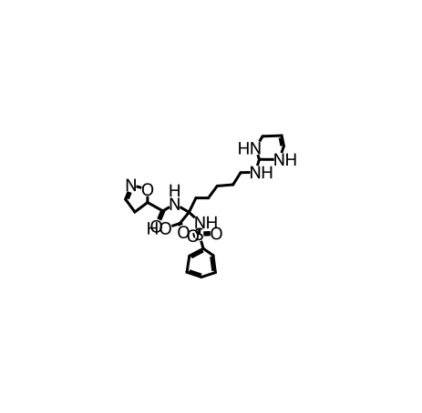 O=C(NC(CCCCCNC1NC=CCN1)(NS(=O)(=O)c1ccccc1)C(=O)O)C1CC=NO1